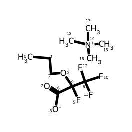 CCCOC(F)(C(=O)[O-])C(F)(F)F.C[N+](C)(C)C